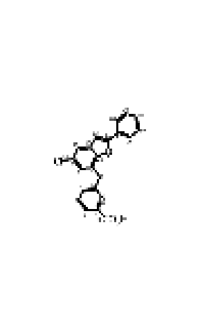 O=C(O)c1cccc(Cc2cc(Cl)cc3cc(-c4ccccc4)oc23)n1